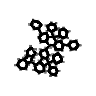 c1ccc(-c2ccc3c(c2)C(c2ccccc2)(c2ccccc2)c2cc(-c4ccccc4)ccc2N3c2ccc3c(c2)C(c2ccccc2)(c2ccccc2)c2cccc(-n4c5ccccc5c5ccccc54)c2-3)cc1